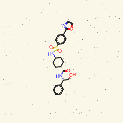 C[C@@H](O)[C@@H](NC(=O)[C@H]1CC[C@H](NS(=O)(=O)c2ccc(-c3ncco3)cc2)CC1)c1ccccc1